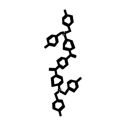 C=C(c1ccc(C(=C)c2ccc(N(Cc3ccc(C)cc3)Cc3ccc(C)cc3)cc2)cc1)c1ccc(N(Cc2ccc(C)cc2)Cc2ccc(C)cc2)cc1